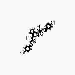 O=C(COc1ccc(Cl)cc1)Nc1cnc(NC(=O)COc2ccc(Cl)cc2)c2c1CCC2